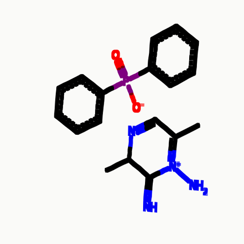 CC1=[N+](N)C(=N)C(C)N=C1.O=P([O-])(c1ccccc1)c1ccccc1